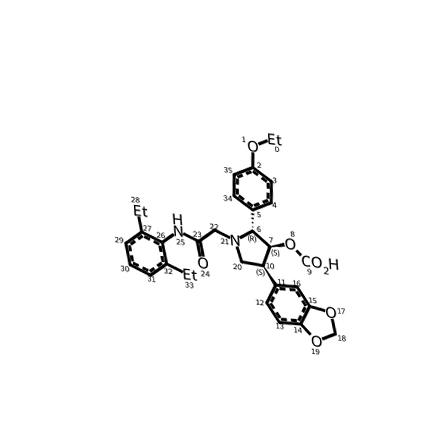 CCOc1ccc([C@@H]2[C@@H](OC(=O)O)[C@@H](c3ccc4c(c3)OCO4)CN2CC(=O)Nc2c(CC)cccc2CC)cc1